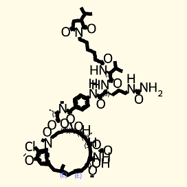 COc1cc2cc(c1Cl)N(C)C(=O)C[C@H](OC(=O)[C@H](C)N(C)C(=O)c1ccc(NC(=O)[C@H](CCCNC(N)=O)NC(=O)[C@@H](NC(=O)CCCCCN3C(=O)CC(C(C)C)C3=O)C(C)C)cc1)[C@]1(C)O[C@H]1[C@H](C)[C@@H]1C[C@@](O)(NC(=O)O1)[C@H](OC)/C=C/C=C(\C)C2